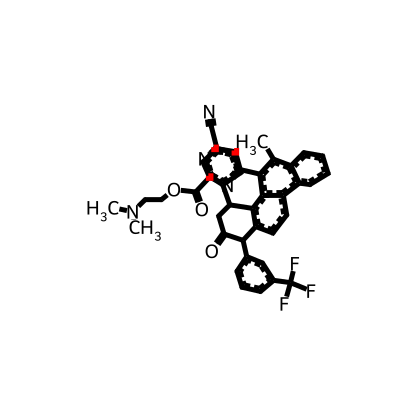 Cc1c(-c2ccnc(C(=O)OCCN(C)C)n2)c2c3c(ccc2c2ccccc12)C(c1cccc(C(F)(F)F)c1)C(=O)CC3c1ccc(C#N)cc1